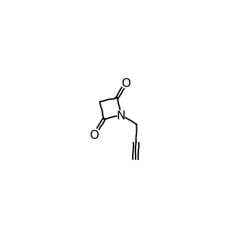 C#CCN1C(=O)CC1=O